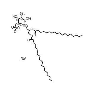 CCCCCCCCCCCCCCCCCC(=O)OCC(CO[C@H]1O[C@H](CS(=O)(=O)[O-])[C@@H](O)[C@H](O)[C@@H]1O)OC(=O)CCCCCCCCCCCCCCCCC.[Na+]